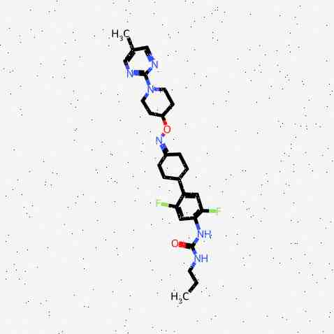 CCCNC(=O)Nc1cc(F)c(C2CCC(=NOC3CCN(c4ncc(C)cn4)CC3)CC2)cc1F